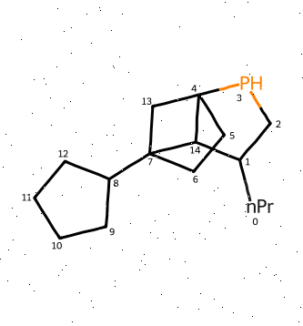 CCCC1CPC23CCC(C4CCCC4)(C2)C13